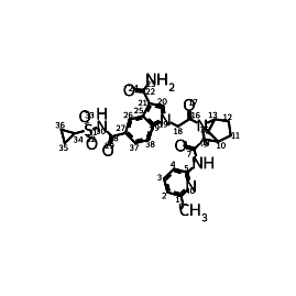 Cc1cccc(NC(=O)[C@@H]2C3CCC(C3)N2C(=O)Cn2cc(C(N)=O)c3cc(C(=O)NS(=O)(=O)C4CC4)ccc32)n1